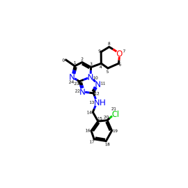 Cc1cc(C2CCOCC2)n2nc(NCc3ccccc3Cl)nc2n1